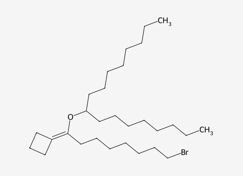 CCCCCCCCC(CCCCCCCC)OC(CCCCCCCBr)=C1CCC1